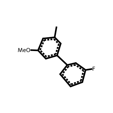 COc1cc(C)cc(-c2cccc(F)c2)c1